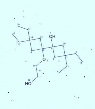 CCC1(CC)CC(O)(C2(OCCO)CC(CC)(CC)C2)C1